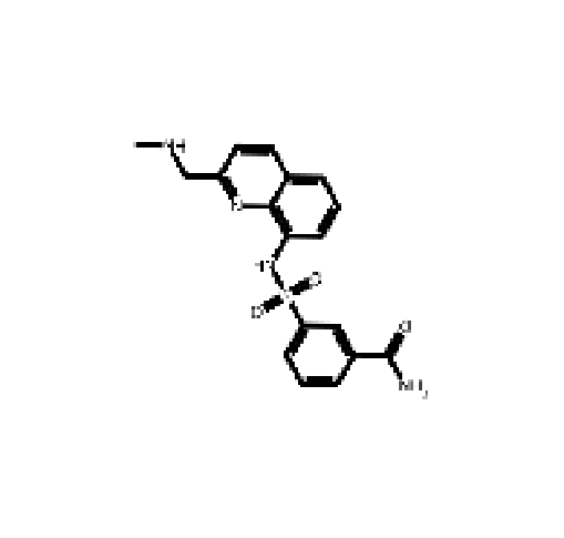 CNCc1ccc2cccc(NS(=O)(=O)c3cccc(C(N)=O)c3)c2n1